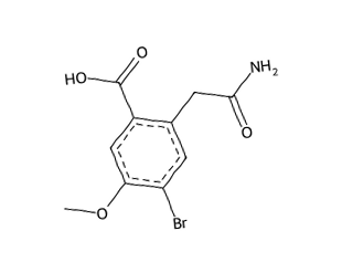 COc1cc(C(=O)O)c(CC(N)=O)cc1Br